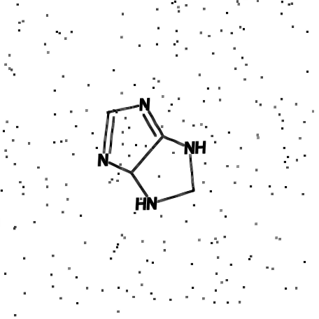 C1=NC2NCNC2=N1